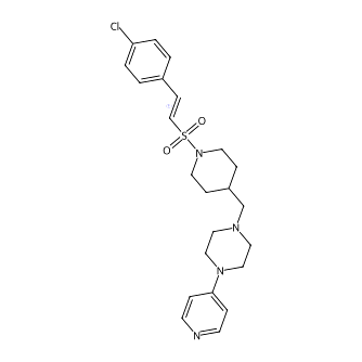 O=S(=O)(/C=C/c1ccc(Cl)cc1)N1CCC(CN2CCN(c3ccncc3)CC2)CC1